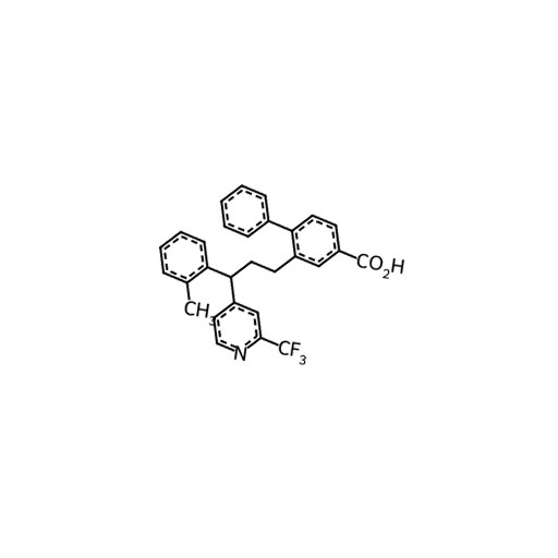 Cc1ccccc1C(CCc1cc(C(=O)O)ccc1-c1ccccc1)c1ccnc(C(F)(F)F)c1